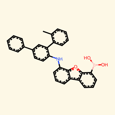 Cc1ccccc1-c1cc(-c2ccccc2)ccc1Nc1cccc2c1oc1c(B(O)O)cccc12